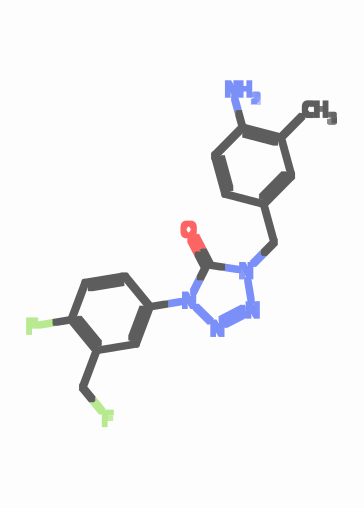 Cc1cc(Cn2nnn(-c3ccc(F)c(CF)c3)c2=O)ccc1N